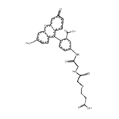 O=C(O)CCSCC(=O)NCC(=O)Nc1ccc(-c2c3ccc(=O)cc-3oc3cc(O)ccc23)c(C(=O)O)c1